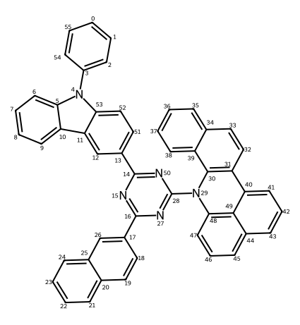 c1ccc(-n2c3ccccc3c3cc(-c4nc(-c5ccc6ccccc6c5)nc(N5c6c(ccc7ccccc67)-c6cccc7cccc5c67)n4)ccc32)cc1